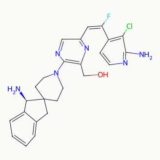 Nc1nccc(/C(F)=C\c2cnc(N3CCC4(CC3)Cc3ccccc3[C@H]4N)c(CO)n2)c1Cl